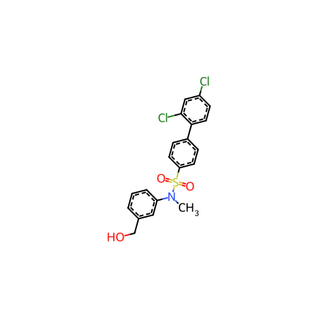 CN(c1cccc(CO)c1)S(=O)(=O)c1ccc(-c2ccc(Cl)cc2Cl)cc1